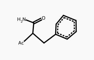 CC(=O)C(Cc1ccccc1)C(N)=O